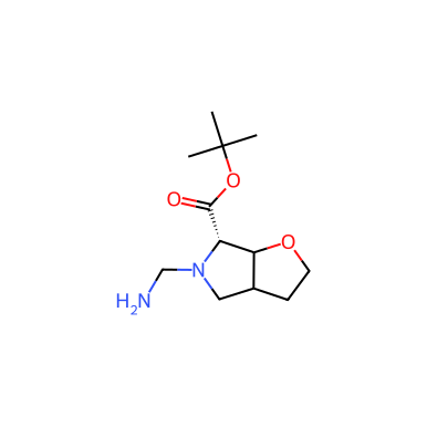 CC(C)(C)OC(=O)[C@@H]1C2OCCC2CN1CN